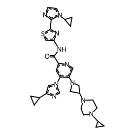 O=C(Nc1csc(-c2nccn2C2CC2)n1)c1cc(-n2cnc(C3CC3)c2)c(N2CC(N3CCN(C4CC4)CC3)C2)cn1